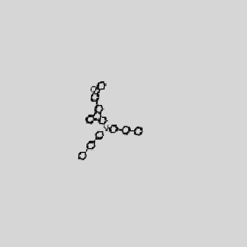 c1ccc(-c2ccc(-c3ccc(N(c4ccc(-c5ccc(-c6ccccc6)cc5)cc4)c4ccc5c6ccc(-c7ccc8oc9ccccc9c8c7)cc6c6ccccc6c5c4)cc3)cc2)cc1